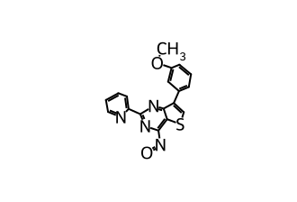 COc1cccc(-c2csc3c(N=O)nc(-c4ccccn4)nc23)c1